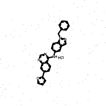 Cl.c1ccc(Cn2ncc3cc(Nc4ncnc5cc(-c6ccco6)ccc45)ccc32)cc1